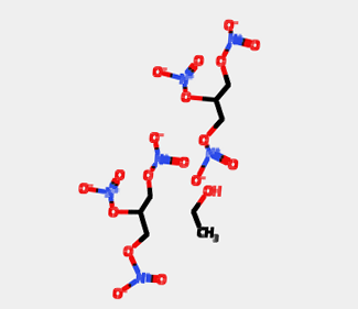 CCO.O=[N+]([O-])OCC(CO[N+](=O)[O-])O[N+](=O)[O-].O=[N+]([O-])OCC(CO[N+](=O)[O-])O[N+](=O)[O-]